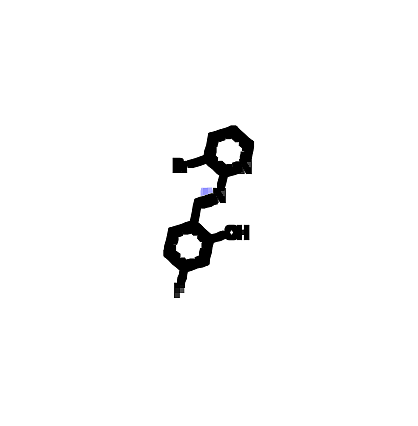 Oc1cc(F)ccc1/C=N/c1ncccc1Br